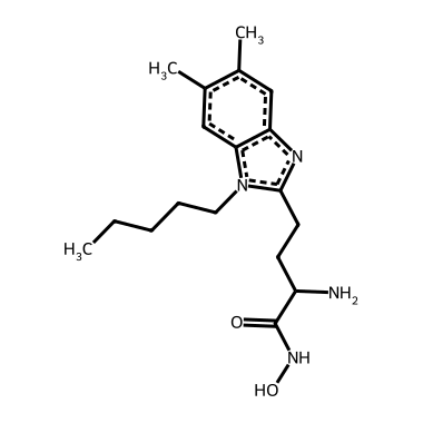 CCCCCn1c(CCC(N)C(=O)NO)nc2cc(C)c(C)cc21